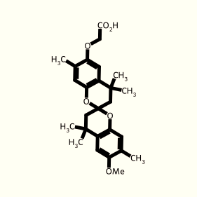 COc1cc2c(cc1C)OC1(CC2(C)C)CC(C)(C)c2cc(OCC(=O)O)c(C)cc2O1